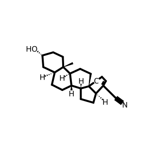 C[C@]12CC[C@@H](O)C[C@@H]1CC[C@@H]1[C@@H]2CC[C@@]23CCC=C(C#N)[C@H]2CC[C@@H]13